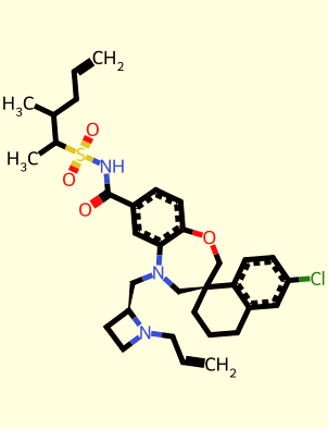 C=CCC(C)C(C)S(=O)(=O)NC(=O)c1ccc2c(c1)N(C[C@@H]1CCN1CC=C)C[C@@]1(CCCc3cc(Cl)ccc31)CO2